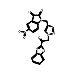 O=C(Cn1cc(CN2C(=O)C(=O)c3cc([N+](=O)[O-])ccc32)nn1)c1nc2ccccc2s1